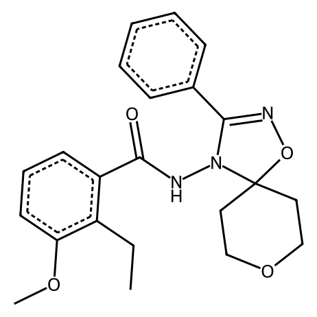 CCc1c(OC)cccc1C(=O)NN1C(c2ccccc2)=NOC12CCOCC2